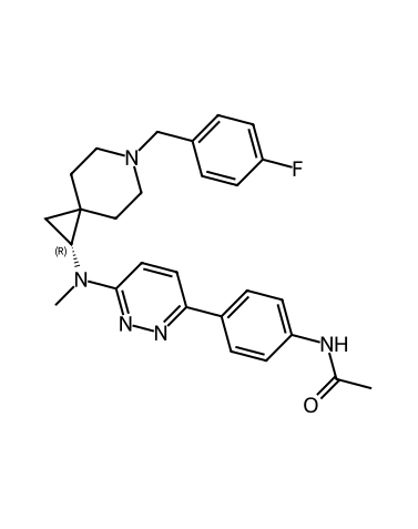 CC(=O)Nc1ccc(-c2ccc(N(C)[C@@H]3CC34CCN(Cc3ccc(F)cc3)CC4)nn2)cc1